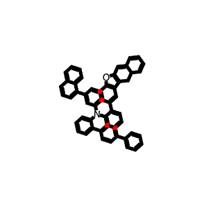 C1=CC2=Cc3oc4ccc(-c5ccccc5N(c5cccc(-c6cccc7ccccc67)c5)c5ccccc5-c5ccc(-c6ccccc6)cc5)cc4c3CC2C=C1